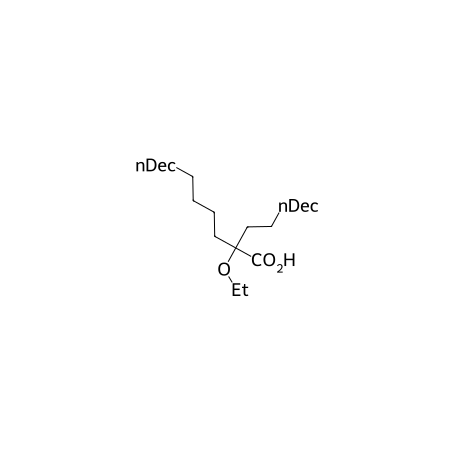 CCCCCCCCCCCCCCC(CCCCCCCCCCCC)(OCC)C(=O)O